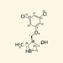 C[C@H]1BC[C@@H](O)[C@@H]1COc1cc(Cl)cc(Cl)c1